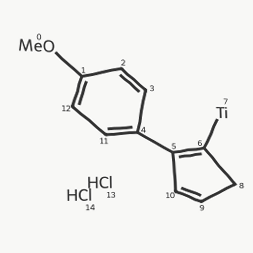 COc1ccc(C2=[C]([Ti])CC=C2)cc1.Cl.Cl